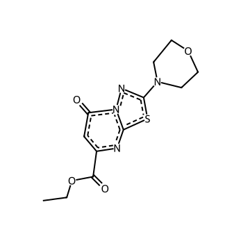 CCOC(=O)c1cc(=O)n2nc(N3CCOCC3)sc2n1